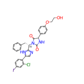 O=C1NC(c2ccc(OCCO)cc2)C(=O)N1[C@@H](Cc1ccccc1)c1ncc(-c2ccc(I)cc2Cl)[nH]1